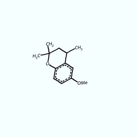 COc1ccc2c(c1)C(C)CC(C)(C)O2